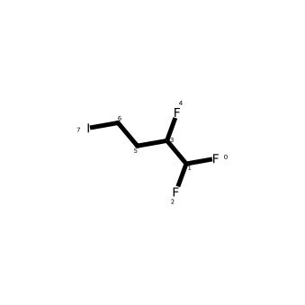 FC(F)C(F)CCI